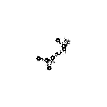 Cn1c(=O)n(-c2ccc(OCc3ccccc3)nc2OCc2ccccc2)c2ccc(-n3ccc(CC(=O)Nc4ccc5c(F)c(N6CC(=O)NS6(=O)=O)c(OCc6ccccc6)cc5c4)n3)cc21